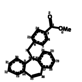 COC(=O)c1ccc(CN2c3ccccc3C=Cc3ccccc32)cc1